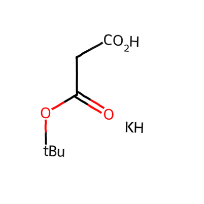 CC(C)(C)OC(=O)CC(=O)O.[KH]